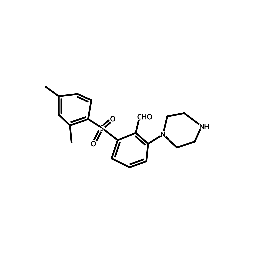 Cc1ccc(S(=O)(=O)c2cccc(N3CCNCC3)c2C=O)c(C)c1